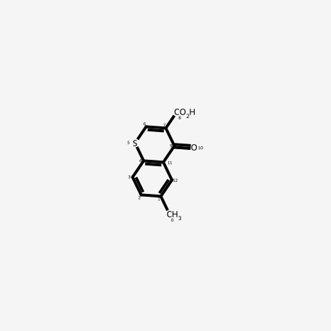 Cc1ccc2scc(C(=O)O)c(=O)c2c1